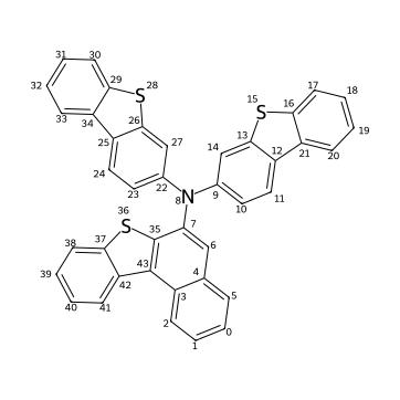 c1ccc2c(c1)cc(N(c1ccc3c(c1)sc1ccccc13)c1ccc3c(c1)sc1ccccc13)c1sc3ccccc3c12